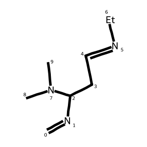 C=NC(CC=NCC)N(C)C